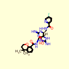 CC1(C)CCOc2c(C(=O)NC3CN4C(=N)N[C@@H](CNC(=O)c5ccc(F)cn5)[C@@H]5NC(=N)NC54[C@@H]3O)cccc21